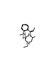 C/C=C(\c1ccccc1NC)N1CCN(CC)CC1C